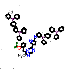 Cc1nc2cnc(-c3ccc(C#N)nc3)cn2c1Cc1ccccc1OC(F)F.[Pd].c1ccc(P(c2ccccc2)c2ccccc2)cc1.c1ccc(P(c2ccccc2)c2ccccc2)cc1.c1ccc(P(c2ccccc2)c2ccccc2)cc1.c1ccc(P(c2ccccc2)c2ccccc2)cc1